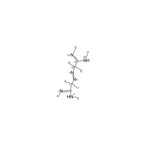 CN=C(NC)C(C)(C)N=NC(C)(C)C(=NC)NC